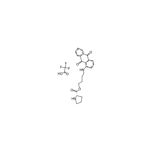 O=C(O)C(F)(F)F.O=C1c2ccccc2C(=O)c2c(NCCCCOC(=O)[C@@H]3CCCN3)cccc21